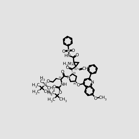 C=C[C@@]1(C(=O)[C@@H]2C[C@@H](Oc3cc(-c4ccccc4)nc4cc(OC)ccc34)CN2C(=O)[C@H](CCO[Si](C)(C)C(C)(C)C)NC(=O)OC(C)(C)C)C[C@]1(N)C(=O)NS(=O)(=O)c1ccccc1